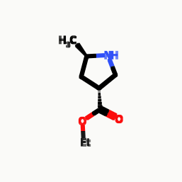 CCOC(=O)[C@H]1CN[C@H](C)C1